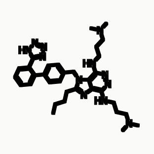 CCCCc1nc2c(NCCCN(C)C)nnc(NCCCN(C)C)c2n1Cc1ccc(-c2ccccc2-c2nnn[nH]2)cc1